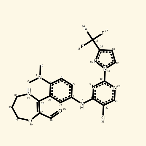 CN(C)c1ccc(Nc2nc(-n3ccc(C(F)(F)F)n3)ncc2Cl)cc1C1=C(C=O)OCCCN1